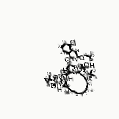 C[C@@H]1CC/C=C\[C@@H]2C[C@@]2(C(=O)NS(=O)(=O)C2(C)CC2)NC(=O)[C@@H]2C[C@@H](Oc3nc(OCC(F)F)cc4c(Cl)cccc34)CN2C(=O)[C@@H](N(C(=O)O)C(C)(C)C)[C@H](C)C1